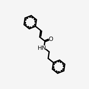 O=C(C=Cc1ccccc1)NCCc1ccccc1